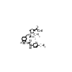 Cc1ccc(NC(=O)Nc2cc(CN(C)[C@H]3CCN(C(=O)O)C3C)ccc2F)cn1